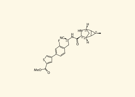 COC(=O)c1cc(-c2ccc(C[C@@H](C#N)NC(=O)[C@H]3N[C@H]4C[C@@H]3C3C4[C@H]3C)c(F)c2)cs1